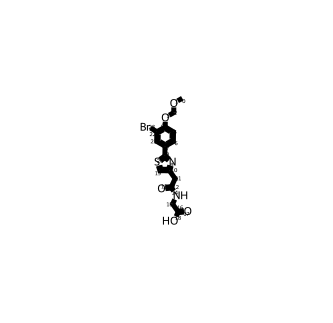 COCOc1ccc(-c2nc(CC(=O)NCC(=O)O)cs2)cc1Br